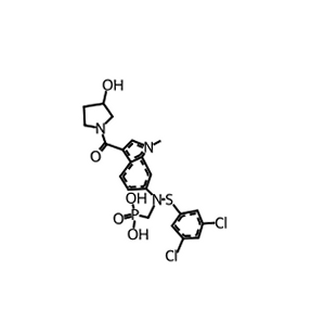 Cn1cc(C(=O)N2CCC(O)C2)c2ccc(N(CP(=O)(O)O)Sc3cc(Cl)cc(Cl)c3)cc21